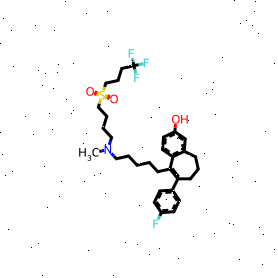 CN(CCCCCC1=C(c2ccc(F)cc2)CCCc2cc(O)ccc21)CCCCS(=O)(=O)CCCC(F)(F)F